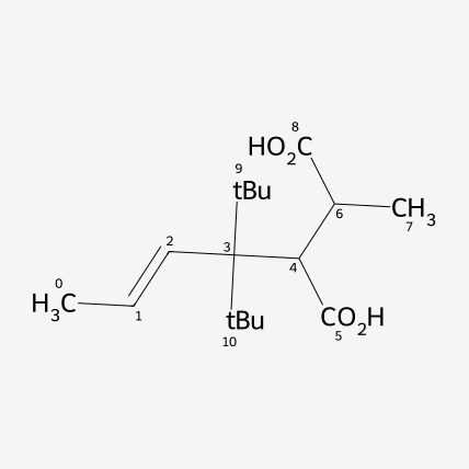 CC=CC(C(C(=O)O)C(C)C(=O)O)(C(C)(C)C)C(C)(C)C